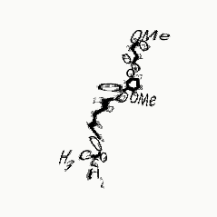 C=C(C)C(=O)OCCCCCCOC(=O)c1cc(OOC(=O)CCC(=O)OC)ccc1OC